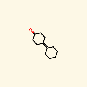 O=C1CCC(=C2CCCCC2)CC1